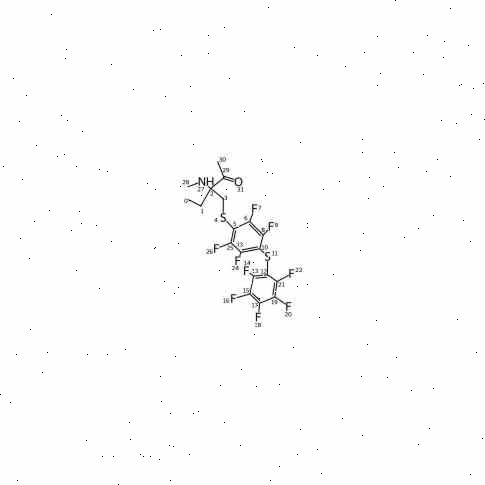 CCC(CSc1c(F)c(F)c(Sc2c(F)c(F)c(F)c(F)c2F)c(F)c1F)(NC)C(C)=O